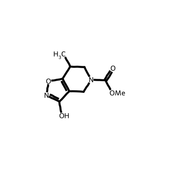 COC(=O)N1Cc2c(O)noc2C(C)C1